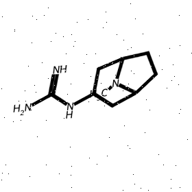 CN1C2CCC1CC(NC(=N)N)C2